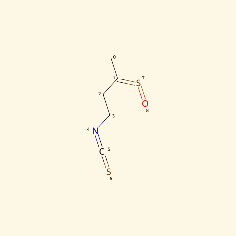 CC(CCN=C=S)=S=O